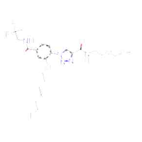 CCOCCNC(=O)c1cn(-c2ccc(C(=O)NCC(F)(F)F)cc2OCCCCCCF)nn1